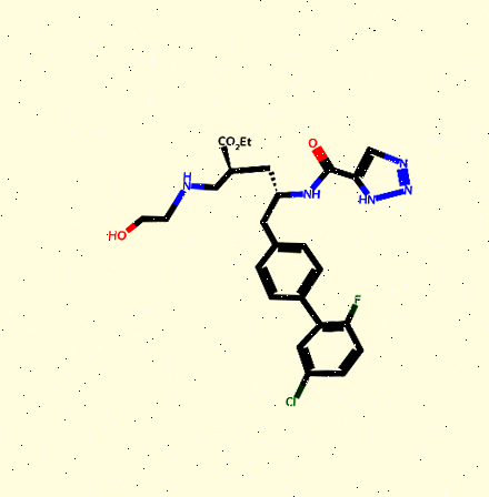 CCOC(=O)[C@H](CNCCO)C[C@@H](Cc1ccc(-c2cc(Cl)ccc2F)cc1)NC(=O)c1cnn[nH]1